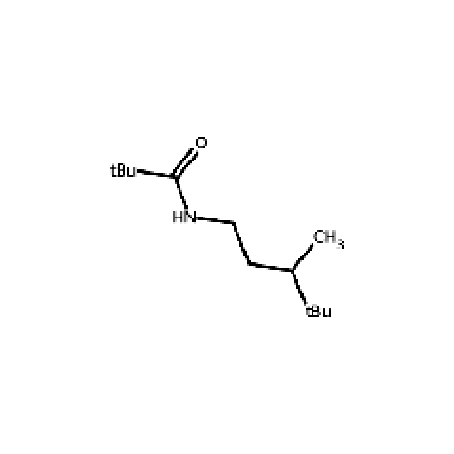 CC(CCNC(=O)C(C)(C)C)C(C)(C)C